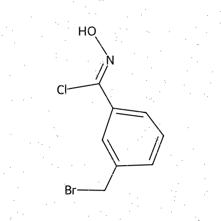 O/N=C(\Cl)c1cccc(CBr)c1